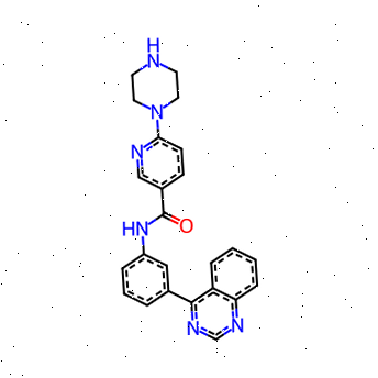 O=C(Nc1cccc(-c2ncnc3ccccc23)c1)c1ccc(N2CCNCC2)nc1